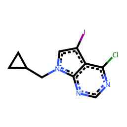 Clc1ncnc2c1c(I)cn2CC1CC1